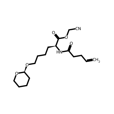 C=CCCC(=O)N[C@@H](CCCCO[C@H]1CCCCO1)C(=O)OCC#N